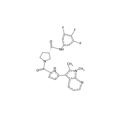 Cc1c(-c2ccc(C(=O)N3CC[C@H](C(=O)Nc4cc(F)c(F)c(F)c4)C3)[nH]2)c2cccnc2n1C